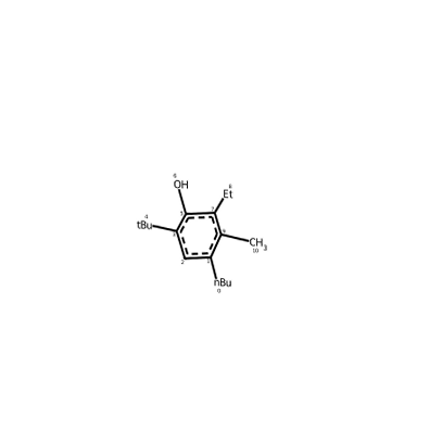 CCCCc1cc(C(C)(C)C)c(O)c(CC)c1C